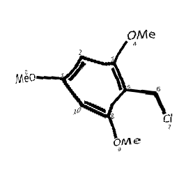 COc1cc(OC)c(CCl)c(OC)c1